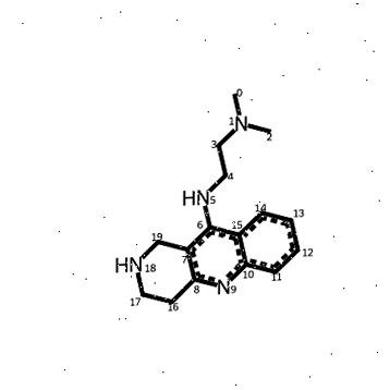 CN(C)CCNc1c2c(nc3ccccc13)CCNC2